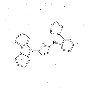 c1ccc2c(c1)c1ccccc1n2-c1ccc(-n2c3ccccc3c3ccccc32)o1